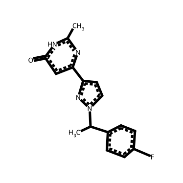 Cc1nc(-c2ccn(C(C)c3ccc(F)cc3)n2)cc(=O)[nH]1